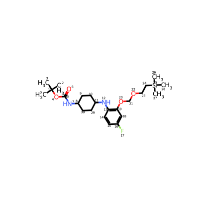 CC(C)(C)OC(=O)NC1CCC(Nc2ccc(F)cc2OCOCC[Si](C)(C)C)CC1